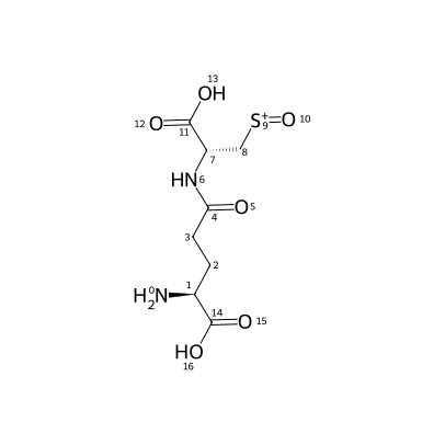 N[C@@H](CCC(=O)N[C@@H](C[S+]=O)C(=O)O)C(=O)O